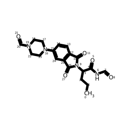 CCCC(C(=O)NC=O)N1C(=O)c2ccc(N3CCN(C=O)CC3)cc2C1=O